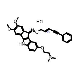 COc1cc2c(cc1OC)-c1[nH]c3ccc(OCCN(C)C)cc3c1/C2=N\OC/C=C/C#Cc1ccccc1.Cl